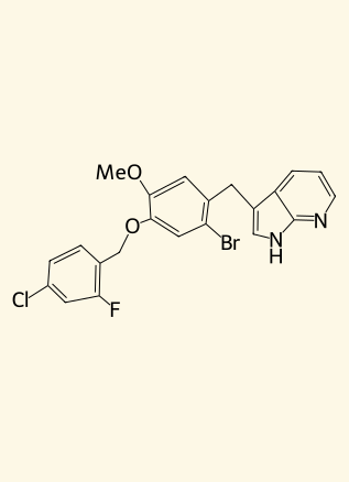 COc1cc(Cc2c[nH]c3ncccc23)c(Br)cc1OCc1ccc(Cl)cc1F